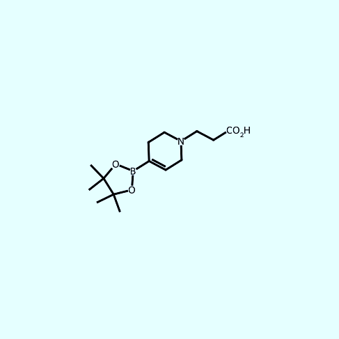 CC1(C)OB(C2=CCN(CCC(=O)O)CC2)OC1(C)C